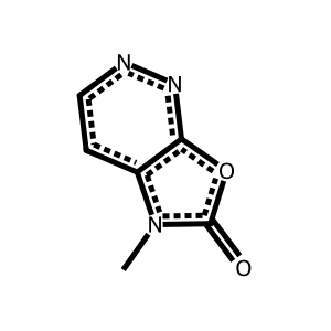 Cn1c(=O)oc2nnccc21